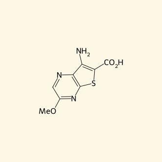 COc1cnc2c(N)c(C(=O)O)sc2n1